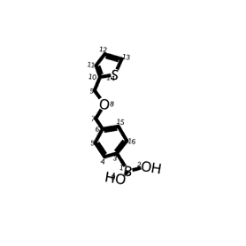 OB(O)c1ccc(COCc2cccs2)cc1